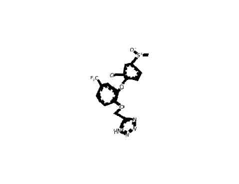 C[S+]([O-])c1ccc(Oc2cc(C(F)(F)F)ccc2OCc2nnn[nH]2)c(Cl)c1